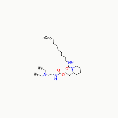 CCCCCCCCCCCCCCCCCCNC(=O)N1CCCCC1CCOC(=O)NCCN(CC(C)C)CC(C)C